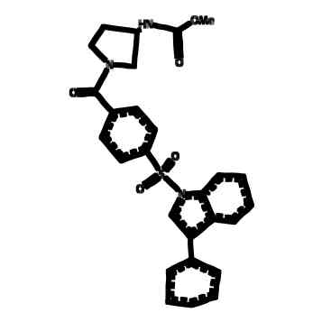 COC(=O)N[C@H]1CCN(C(=O)c2ccc(S(=O)(=O)n3cc(-c4ccccc4)c4ccccc43)cc2)C1